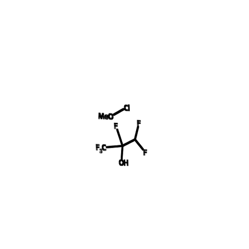 COCl.OC(F)(C(F)F)C(F)(F)F